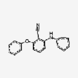 N#Cc1c(Nc2ccccc2)cccc1Oc1ccccc1